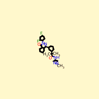 Cn1cc(NC(=O)C(C)(C)c2cccc(-c3nn(-c4ccc(F)cc4F)c(=O)c4ccccc34)c2)cn1